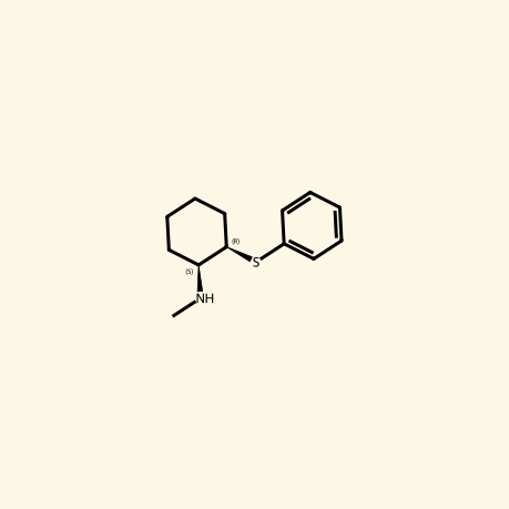 CN[C@H]1CCCC[C@H]1Sc1ccccc1